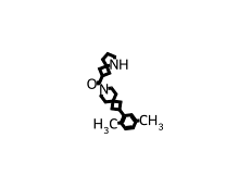 Cc1ccc(C)c(C2CC3(CCN(C(=O)C4CC5(CCCN5)C4)CC3)C2)c1